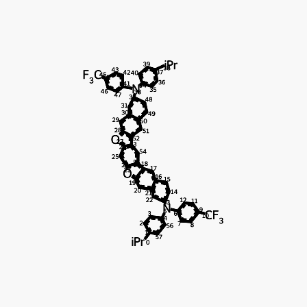 CC(C)c1ccc(N(c2ccc(C(F)(F)F)cc2)c2ccc3cc4c(cc3c2)oc2cc3oc5cc6cc(N(c7ccc(C(C)C)cc7)c7ccc(C(F)(F)F)cc7)ccc6cc5c3cc24)cc1